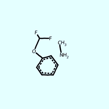 CN.FC(F)Oc1ccccc1